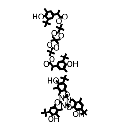 Cc1cc(C(C)(C)C)c(O)c(C)c1Cn1c(=O)n(Cc2c(C)cc(C(C)(C)C)c(O)c2C)c(=O)n(Cc2c(C)cc(C(C)(C)C)c(O)c2C)c1=O.Cc1cc(C(C)C(=O)OCC(C)(C)C2OCC3(CO2)COC(C(C)(C)COC(=O)C(C)c2cc(C)c(O)c(C(C)(C)C)c2)OC3)cc(C(C)(C)C)c1O